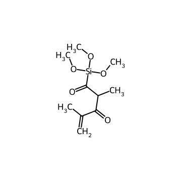 C=C(C)C(=O)C(C)C(=O)[Si](OC)(OC)OC